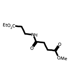 CCOC(=O)CCNC(=O)CCC(=O)OC